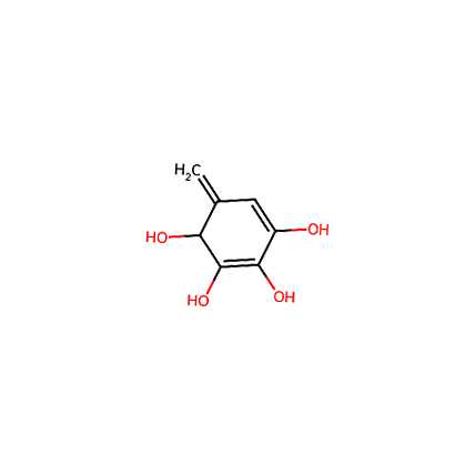 C=C1C=C(O)C(O)=C(O)C1O